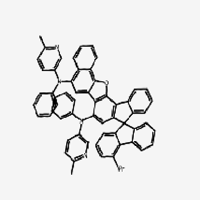 Cc1ccc(N(c2ccccc2)c2cc3c(oc4c5c(cc(N(c6ccccc6)c6ccc(C)nc6)c43)C3(c4ccccc4-c4c(C(C)C)cccc43)c3ccccc3-5)c3ccccc23)cn1